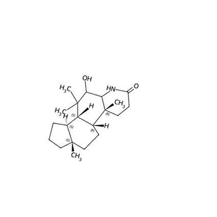 CC1(C)C(O)C2NC(=O)CC[C@]2(C)[C@@H]2CC[C@]3(C)CCC[C@H]3[C@@H]21